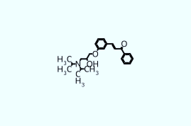 CC(C)N(CC(O)COc1cccc(/C=C/C(=O)c2ccccc2)c1)C(C)C